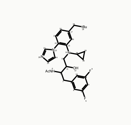 CC(=O)NC(Cc1cc(F)cc(F)c1)C(O)CN(c1cc(CC(C)(C)C)ccc1-n1ccnc1)C1CC1